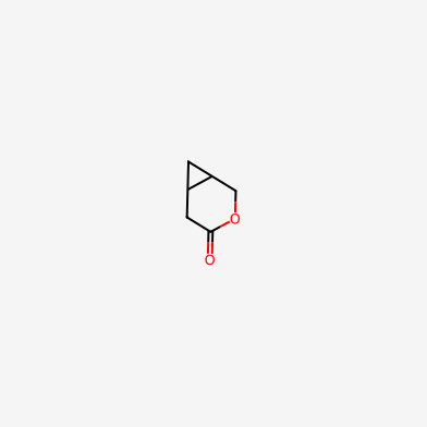 O=C1CC2CC2CO1